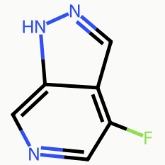 Fc1cncc2[nH]ncc12